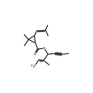 CC#CC(OC(=O)C1C(C=C(C)C)C1(C)C)C(C)=CC(F)(F)F